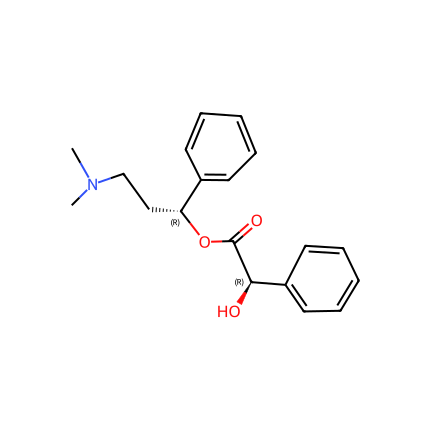 CN(C)CC[C@@H](OC(=O)[C@H](O)c1ccccc1)c1ccccc1